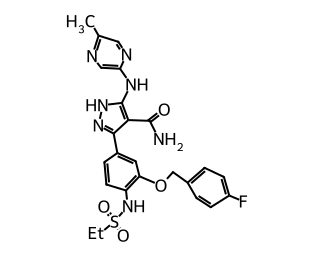 CCS(=O)(=O)Nc1ccc(-c2n[nH]c(Nc3cnc(C)cn3)c2C(N)=O)cc1OCc1ccc(F)cc1